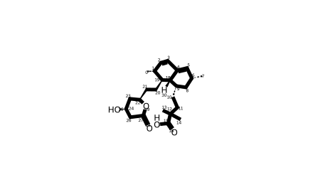 C[C@@H]1C=CC2=C[C@H](C)C[C@H](CCC(C)(C)C(=O)O)[C@@H]2[C@H]1CC[C@@H]1C[C@@H](O)CC(=O)O1